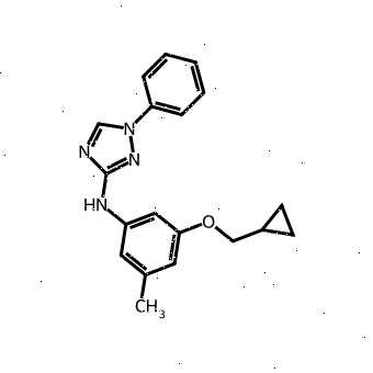 Cc1cc(Nc2ncn(-c3ccccc3)n2)cc(OCC2CC2)c1